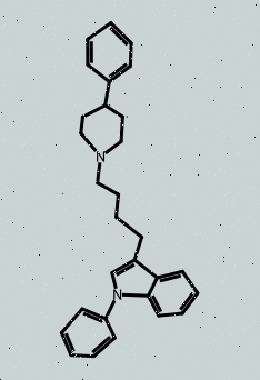 [CH]1CN(CCCCc2cn(-c3ccccc3)c3ccccc23)CC[C]1c1ccccc1